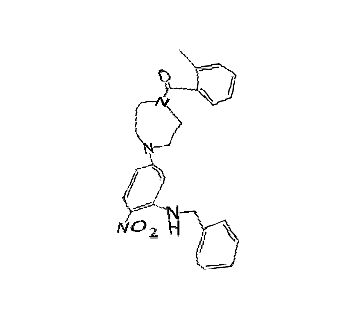 Cc1ccccc1C(=O)N1CCN(c2ccc([N+](=O)[O-])c(NCc3ccccc3)c2)CC1